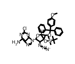 COc1ccc(C(OC2[C@H]3O[C@@H](n4cnc5c(N)nc(Cl)nc54)C(N=[N+]=[N-])C23O[Si](C)(C)C(C)(C)C)(c2ccccc2)c2ccccc2)cc1